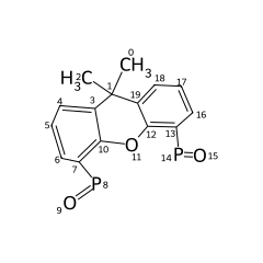 CC1(C)c2cccc(P=O)c2Oc2c(P=O)cccc21